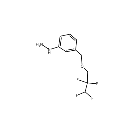 NNc1cccc(COCC(F)(F)C(F)F)c1